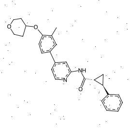 Cc1cc(-c2ccnc(NC(=O)[C@@H]3C[C@H]3c3ccccc3)c2)ccc1OC1CCOCC1